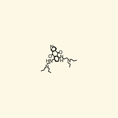 CCCN(CCC)CCNc1ccc(NCCN(CCC)CCC)c2c1C(=O)c1ccncc1C2=O